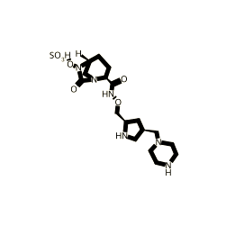 O=C(NOC[C@H]1C[C@@H](CN2CCNCC2)CN1)[C@@H]1CC[C@@H]2CN1C(=O)N2OS(=O)(=O)O